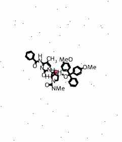 CNC(=O)N1C[C@]2(COC(c3ccccc3)(c3ccc(OC)cc3)c3ccc(OC)cc3)O[C@@H](n3cc(C)c(NC(=O)c4ccccc4)nc3=O)[C@H]1[C@@H]2O